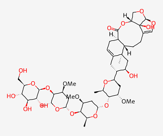 CO[C@H]1C[C@H](O[C@H]2[C@@H](OC)C[C@H]([C@@H]3CC4=CC[C@H]5C(=O)O[C@@H]6CO[C@]7(C)OC=C(CC[C@@H]5[C@@]4(C)C[C@H]3O)[C@]67O)O[C@@H]2C)O[C@@H](C)[C@H]1O[C@H]1C[C@H](OC)[C@H](O[C@@H]2O[C@H](CO)[C@@H](O)[C@H](O)[C@H]2O)[C@@H](C)O1